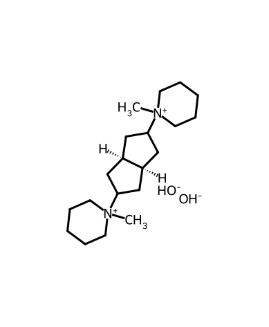 C[N+]1(C2C[C@H]3CC([N+]4(C)CCCCC4)C[C@H]3C2)CCCCC1.[OH-].[OH-]